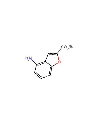 CCOC(=O)c1cc2c(N)cccc2o1